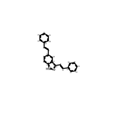 C(=C\c1ccc2[nH]nc(/C=C/c3ccccc3)c2c1)/c1ccccc1